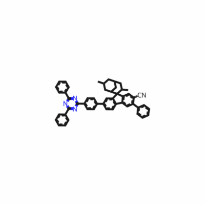 CC1CC2CC(C)C3(c4cc(-c5ccc(-c6nc(-c7ccccc7)nc(-c7ccccc7)n6)cc5)ccc4-c4cc(-c5ccccc5)c(C#N)cc43)C(C1)C2